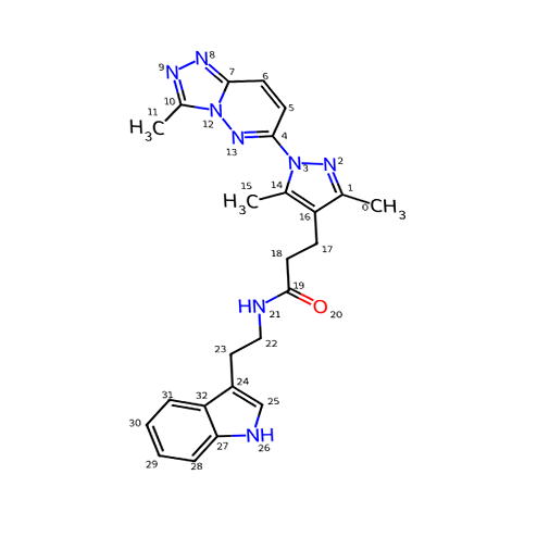 Cc1nn(-c2ccc3nnc(C)n3n2)c(C)c1CCC(=O)NCCc1c[nH]c2ccccc12